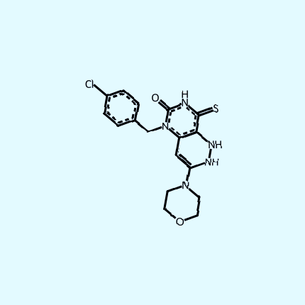 O=c1[nH]c(=S)c2c(n1Cc1ccc(Cl)cc1)C=C(N1CCOCC1)NN2